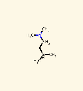 CN(C)[SiH2]C[SiH](C)C